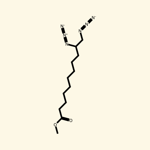 COC(=O)CCCCCCCCC(CN=[N+]=[N-])N=[N+]=[N-]